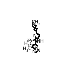 Cc1c(-c2[nH]c3ccc(C4CC5(C4)CN(C)C5)nc3c2C(C)C)cn2ncnc2c1C